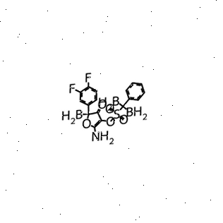 BC(B)(c1ccccc1)S(=O)(=O)OC1=C(N)O[C@](B)(c2ccc(F)c(F)c2)C1=O